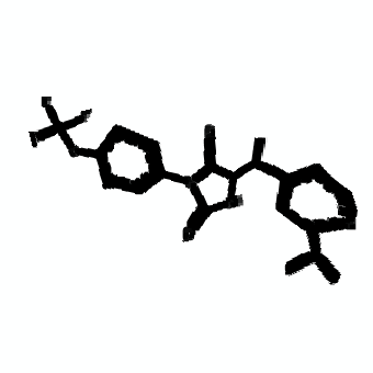 CC(C)c1cc(C(C)C2NC(=O)N(c3ccc(OC(F)(F)F)cc3)C2=O)ccn1